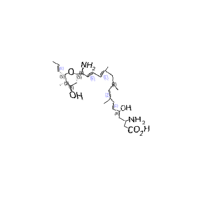 C/C=C/[C@@H]1O[C@H]([C@@H](N)/C=C/C=C(\C)C[C@@H](C)/C=C(C)\C=C\[C@H](O)CC(N)CC(=O)O)C[C@@H](O)[C@@H]1C